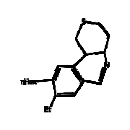 CCCCCCc1cc2c(cc1CC)C=NC1CCSCC21